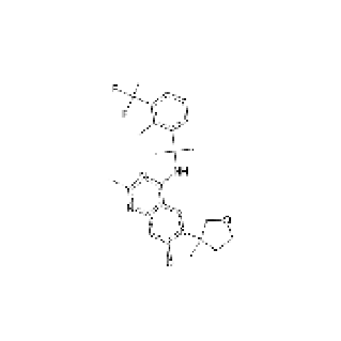 Cc1nc(NC(C)(C)c2cccc(C(F)(F)F)c2C)c2cn(C3(C)CCOC3)c(=O)cc2n1